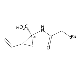 C=CC1C[C@@]1(NC(=O)CC(C)(C)C)C(=O)O